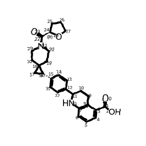 O=C(O)c1cccc2c1CCC(c1ccc([C@@H]3CC34CCN(C(=O)[C@H]3CCCO3)CC4)cc1)N2